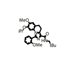 COc1cc2c(cc1OC(C)C)-n1c(-c3ccccc3OC)nc(C(=O)NCC(C)(C)C)c1CC2